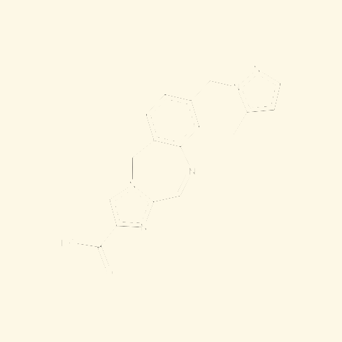 Cc1ccnn1Cc1ccc2c(c1)N=Cc1nc(C(=O)O)cn1C2